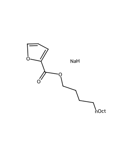 CCCCCCCCCCCCOC(=O)c1ccco1.[NaH]